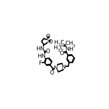 CC(C)(C)NC(=O)c1cccc(CN2CCN(C(=O)c3ccc(NC(=O)NC4CCS(=O)(=O)C4)c(F)c3)CC2)c1